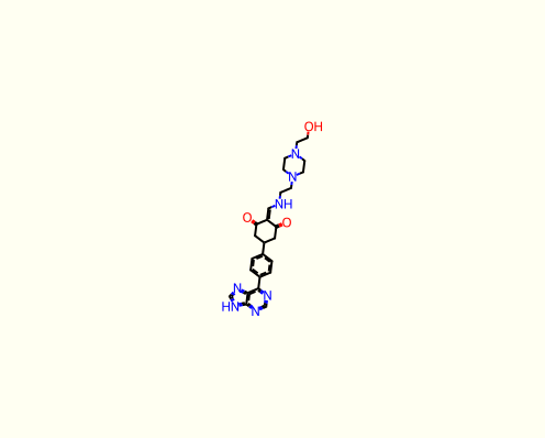 O=C1CC(c2ccc(-c3ncnc4[nH]cnc34)cc2)CC(=O)C1=CNCCN1CCN(CCO)CC1